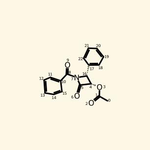 CC(=O)O[C@@H]1C(=O)N(C(=O)c2ccccc2)[C@@H]1c1ccccc1